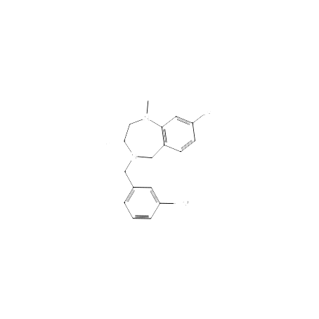 COc1cccc(CN2Cc3ccc(Br)cc3N(C)C[C@H]2C)c1